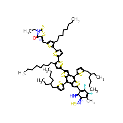 CCCCCCCCc1cc(/C=C2\SC(=S)N(CC)C2=O)sc1-c1ccc(-c2sc(-c3cc4c(-c5ccc(CC(CC)CCCC)s5)c5sc(C6=C(F)C(F)=C(C)/C(=N/S)C6=N)cc5c(-c5ccc(CC(CC)CCCC)s5)c4s3)cc2CCCCCCCC)s1